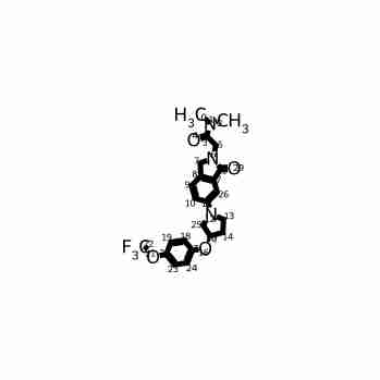 CN(C)C(=O)CN1Cc2ccc(N3CC[C@@H](Oc4ccc(OC(F)(F)F)cc4)C3)cc2C1=O